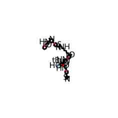 Cc1ncc(-c2ccc3nc(NCCCCCCn4cc(C(=O)N[C@H](C(=O)N5C[C@H](O)C[C@H]5C(=O)NCc5ccc(-c6scnc6C)cc5)C(C)(C)C)ccc4=O)sc3c2)cc1NC(=O)OC1CCCCC1